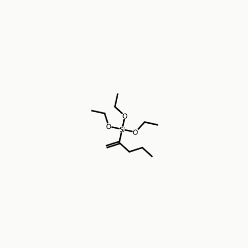 C=C(CCC)[Si](OCC)(OCC)OCC